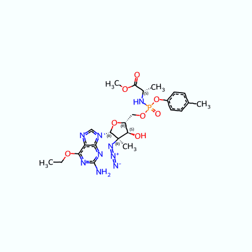 CCOc1nc(N)nc2c1ncn2[C@@H]1O[C@H](COP(=O)(N[C@@H](C)C(=O)OC)Oc2ccc(C)cc2)[C@@H](O)[C@@]1(C)N=[N+]=[N-]